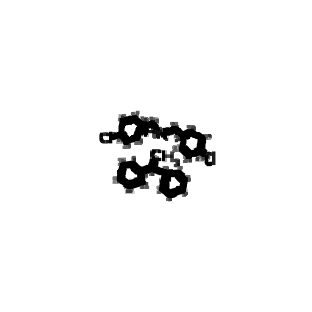 CC(c1ccccc1)c1ccccc1.Clc1ccc(CNCc2ccc(Cl)cc2)cc1